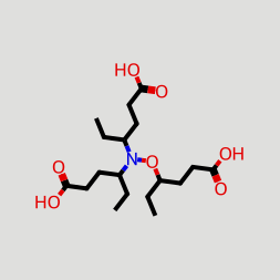 CCC(CCC(=O)O)ON(C(CC)CCC(=O)O)C(CC)CCC(=O)O